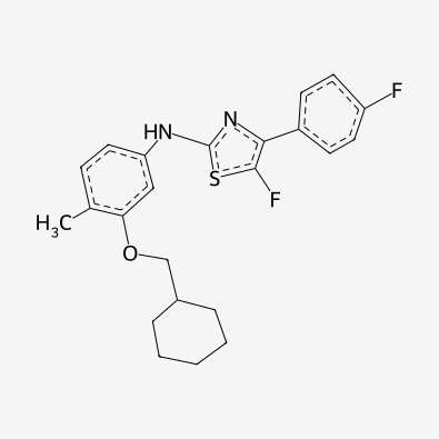 Cc1ccc(Nc2nc(-c3ccc(F)cc3)c(F)s2)cc1OCC1CCCCC1